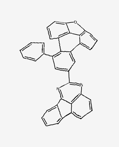 c1ccc(-c2cc(-c3nc4c5c(cccc5n3)-c3ccccc3-4)cc3c4cccc5oc6cccc(c23)c6c54)cc1